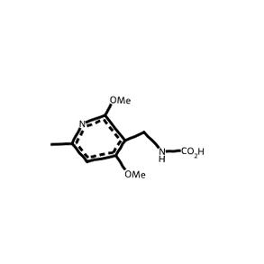 COc1cc(C)nc(OC)c1CNC(=O)O